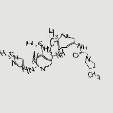 Cc1ncc(NC(=O)CN2CC[C@H](C)C2)cc1Nc1nn(C)c2nc(Nc3cnn(C)c3)ncc12